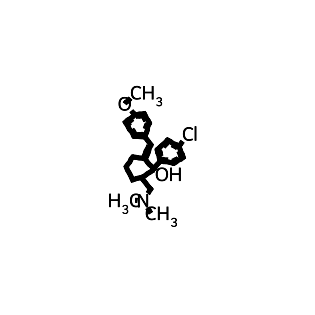 COc1ccc(C=C2CCCC(CN(C)C)C2(O)c2ccc(Cl)cc2)cc1